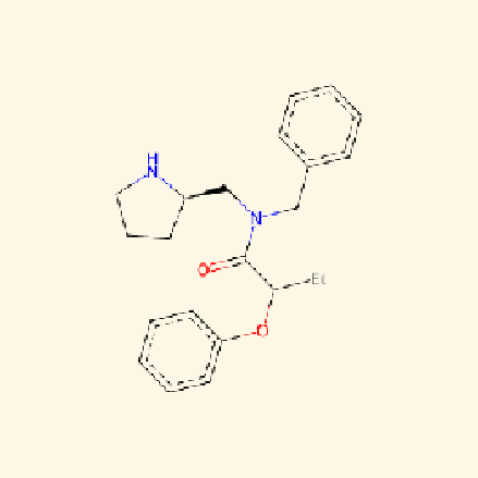 CCC(Oc1ccccc1)C(=O)N(Cc1ccccc1)C[C@H]1CCCN1